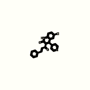 O=C(C=Cc1ccccc1)c1c(-c2ccncc2)c2cc(Cl)ccc2[nH]c1=O